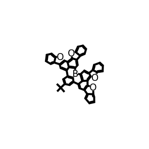 CC(C)(C)c1cc2c3c(c1)-c1cc4c5ccccc5oc4c4c1c(cc1c5ccccc5oc14)B3c1cc3c4ccccc4oc3c3c1c-2cc1c2ccccc2oc13